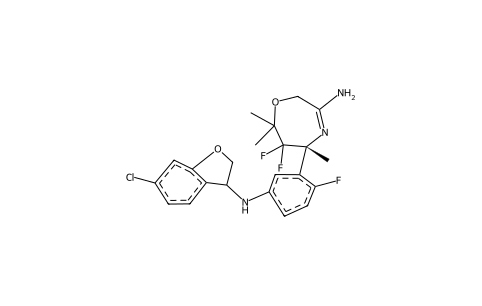 CC1(C)OCC(N)=N[C@](C)(c2cc(NC3COc4cc(Cl)ccc43)ccc2F)C1(F)F